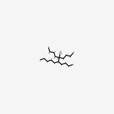 CCCCCC(CCCC)C([O])(CCCC)CCCC